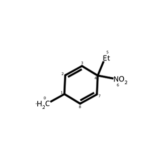 [CH2]C1C=CC(CC)([N+](=O)[O-])C=C1